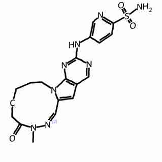 CN1/N=C\c2cc3cnc(Nc4ccc(S(N)(=O)=O)nc4)nc3n2CCCCCC1=O